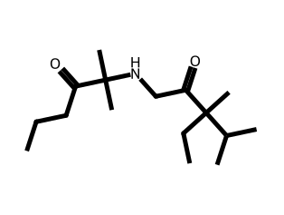 CCCC(=O)C(C)(C)NCC(=O)C(C)(CC)C(C)C